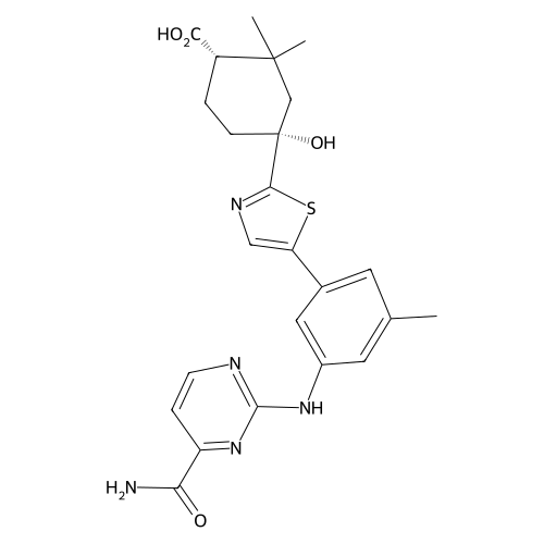 Cc1cc(Nc2nccc(C(N)=O)n2)cc(-c2cnc([C@@]3(O)CC[C@H](C(=O)O)C(C)(C)C3)s2)c1